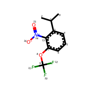 [CH2]C(C)c1cccc(OC(F)(F)F)c1[N+](=O)[O-]